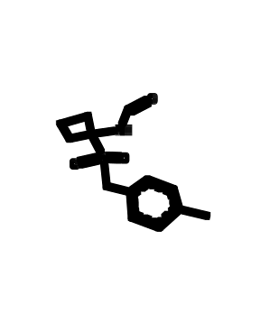 Cc1ccc(CS(=O)(=O)C2(NC=O)CCC2)cc1